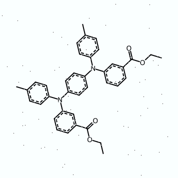 CCOC(=O)c1cccc(N(c2ccc(C)cc2)c2ccc(N(c3ccc(C)cc3)c3cccc(C(=O)OCC)c3)cc2)c1